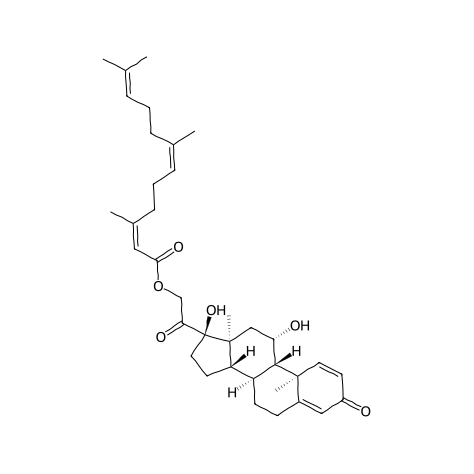 CC(C)=CCC/C(C)=C\CC/C(C)=C\C(=O)OCC(=O)[C@@]1(O)CC[C@H]2[C@@H]3CCC4=CC(=O)C=C[C@]4(C)[C@H]3[C@@H](O)C[C@@]21C